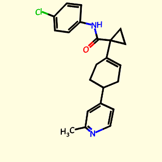 Cc1cc(C2CC=C(C3(C(=O)Nc4ccc(Cl)cc4)CC3)CC2)ccn1